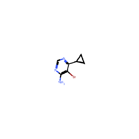 Nc1ncnc(C2CC2)c1Br